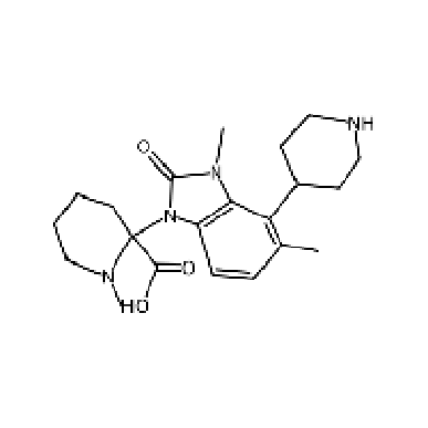 Cc1ccc2c(c1C1CCNCC1)n(C)c(=O)n2C1(C(=O)O)CCCCN1C